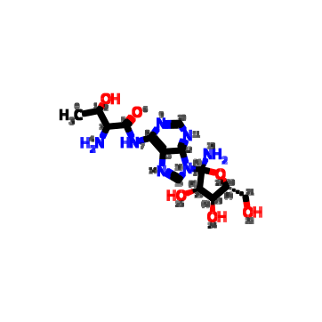 CC(O)C(N)C(=O)Nc1ncnc2c1ncn2[C@]1(N)O[C@H](CO)[C@@H](O)[C@H]1O